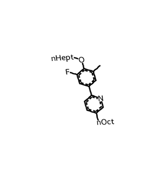 CCCCCCCCc1ccc(-c2cc(C)c(OCCCCCCC)c(F)c2)nc1